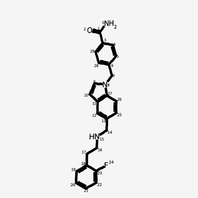 NC(=O)c1ccc(Cn2ccc3cc(CNCCc4ccccc4F)ccc32)cc1